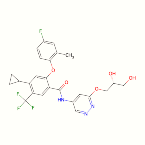 Cc1cc(F)ccc1Oc1cc(C2CC2)c(C(F)(F)F)cc1C(=O)Nc1cnnc(OC[C@H](O)CO)c1